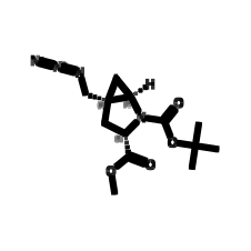 COC(=O)[C@@H]1C[C@@]2(CN=[N+]=[N-])C[C@H]2N1C(=O)OC(C)(C)C